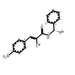 CCC[C@H](NC(=O)/C(C#N)=C/c1ccc([N+](=O)[O-])cc1)c1ccccc1